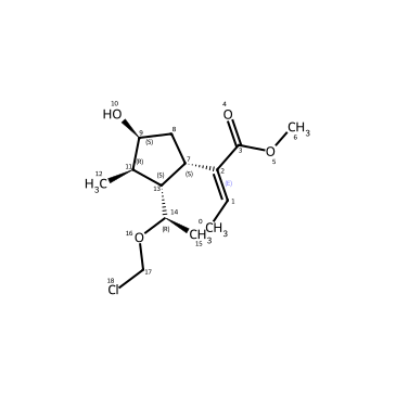 C/C=C(/C(=O)OC)[C@H]1C[C@H](O)[C@H](C)[C@H]1[C@@H](C)OCCl